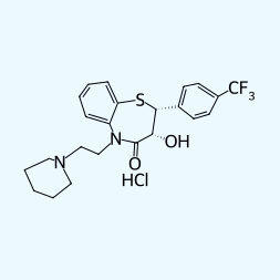 Cl.O=C1[C@@H](O)[C@@H](c2ccc(C(F)(F)F)cc2)Sc2ccccc2N1CCN1CCCCC1